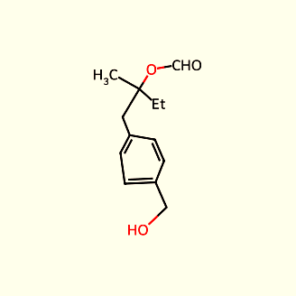 CCC(C)(Cc1ccc(CO)cc1)OC=O